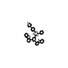 c1ccc(-c2nc(-c3ccc(-c4ccncc4)cc3)nc(-c3cc(-c4cccc5c4sc4ccccc45)cc(-c4cccc5c4sc4ccccc45)c3)n2)cc1